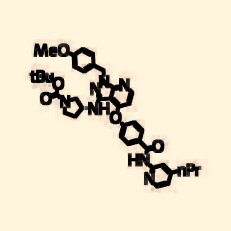 CCCc1ccnc(NC(=O)c2ccc(Oc3ccnc4c3c(N[C@@H]3CCN(C(=O)OC(C)(C)C)C3)nn4Cc3ccc(OC)cc3)cc2)c1